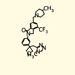 CC1CCN(Cc2cc3c(c(C(F)(F)F)c2)CN(c2cccc(C4(Cc5nncn5C)COC4)c2)C3=O)CC1